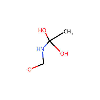 CC(O)(O)NC[O]